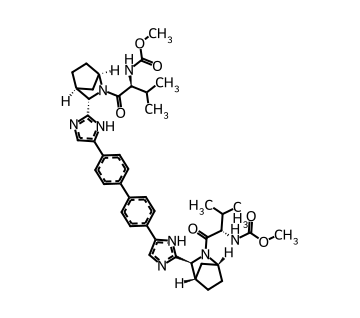 COC(=O)N[C@H](C(=O)N1[C@@H]2CC[C@@H](C2)[C@H]1c1ncc(-c2ccc(-c3ccc(-c4cnc([C@@H]5[C@H]6CC[C@H](C6)N5C(=O)[C@@H](NC(=O)OC)C(C)C)[nH]4)cc3)cc2)[nH]1)C(C)C